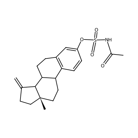 C=C1CC[C@@]2(C)CCC3c4ccc(OS(=O)(=O)NC(C)=O)cc4CCC3C12